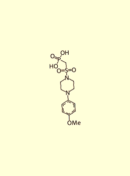 COc1ccc(N2CCN(S(=O)(=O)CP(=O)(O)O)CC2)cc1